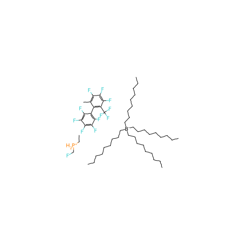 CCCCCCCCC[B-](CCCCCCCCC)(CCCCCCCCC)CCCCCCCCC.CC[PH2+]CF.Cc1c(F)c(F)c(F)c(C(F)(F)F)c1-c1c(F)c(F)c(F)c(F)c1F